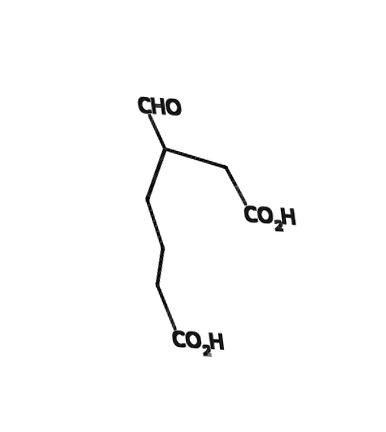 O=CC(CCCC(=O)O)CC(=O)O